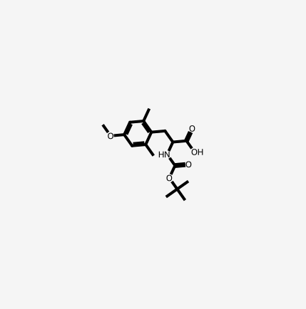 COc1cc(C)c(CC(NC(=O)OC(C)(C)C)C(=O)O)c(C)c1